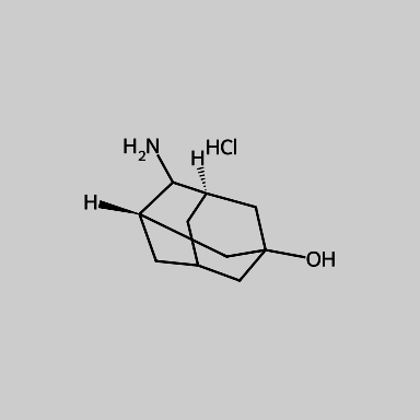 Cl.NC1[C@@H]2CC3C[C@H]1CC(O)(C3)C2